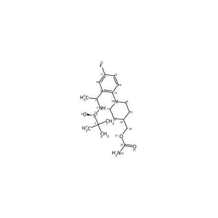 CC(N[S@+]([O-])C(C)(C)C)c1cc(F)ccc1N1CCC(COC(N)=O)CC1